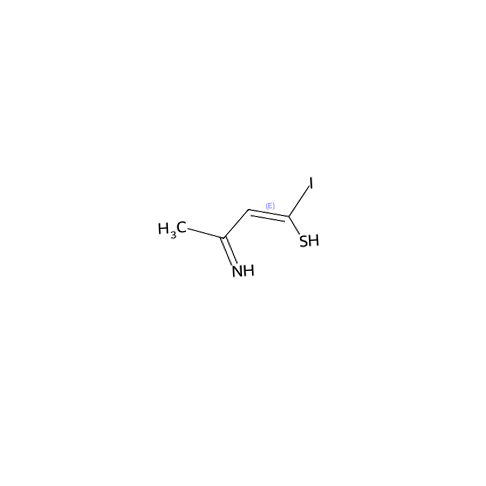 CC(=N)/C=C(\S)I